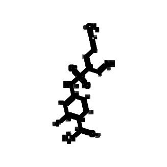 C=C=C/C=C(\C=N)S(=O)(=O)Nc1ccc(C(N)=O)c(F)c1